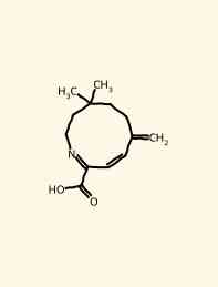 C=C1/C=C\C(C(=O)O)=N/CCC(C)(C)CC1